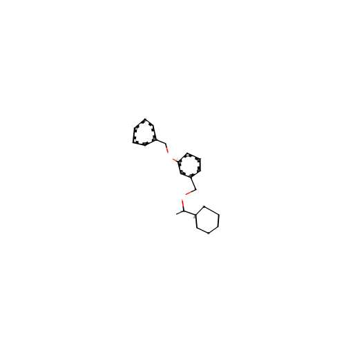 O=C(O)C(OCc1cccc(OCc2ccccc2)c1)C1CCCCC1